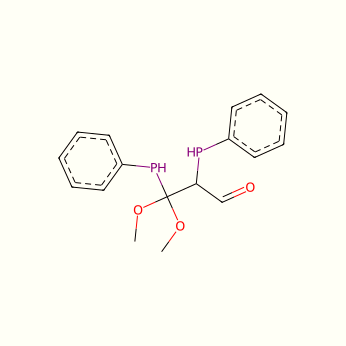 COC(OC)(Pc1ccccc1)C(C=O)Pc1ccccc1